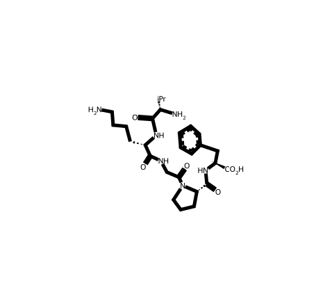 CC(C)[C@H](N)C(=O)N[C@@H](CCCCN)C(=O)NCC(=O)N1CCC[C@H]1C(=O)N[C@@H](Cc1ccccc1)C(=O)O